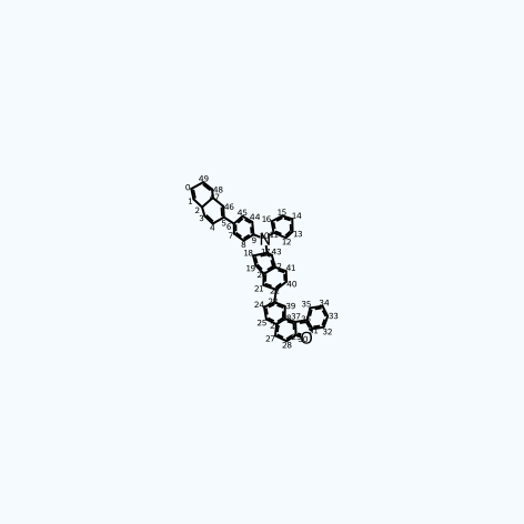 C1=CC2C=CC(c3ccc(N(c4ccccc4)c4ccc5cc(-c6ccc7ccc8oc9ccccc9c8c7c6)ccc5c4)cc3)=CC2C=C1